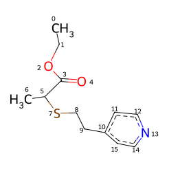 CCOC(=O)C(C)SCCc1ccncc1